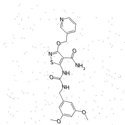 COc1cc(CNC(=O)Nc2snc(OCc3cccnc3)c2C(N)=O)cc(OC)c1